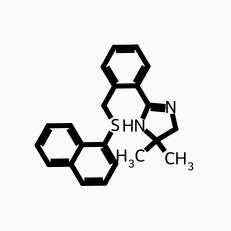 CC1(C)CN=C(c2ccccc2CSc2cccc3ccccc23)N1